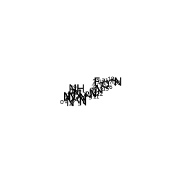 Cc1nc2c3cnn(CCN4CCN(c5ccc(CC#N)cc5F)CC4)c3nc(N)n2n1